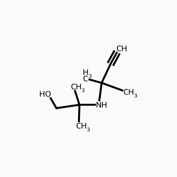 C#CC(C)(C)NC(C)(C)CO